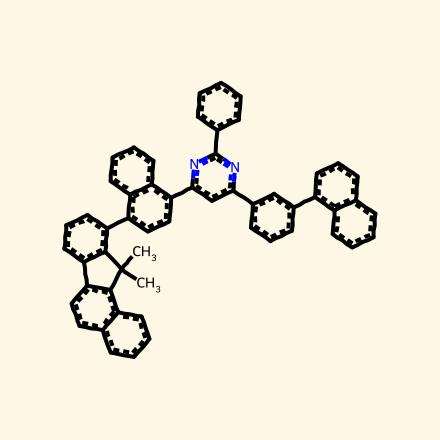 CC1(C)c2c(cccc2-c2ccc(-c3cc(-c4cccc(-c5cccc6ccccc56)c4)nc(-c4ccccc4)n3)c3ccccc23)-c2ccc3ccccc3c21